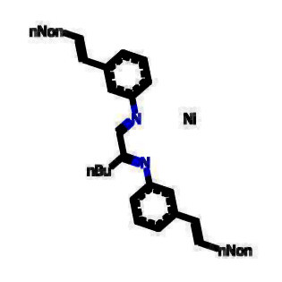 CCCCCCCCCC=Cc1cccc(N=CC(CCCC)=Nc2cccc(C=CCCCCCCCCC)c2)c1.[Ni]